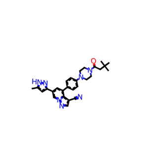 Cc1cc(-c2cc(-c3ccc(N4CCN(C(=O)CC(C)(C)C)CC4)cc3)c3c(C#N)cnn3c2)n[nH]1